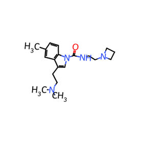 Cc1ccc2c(c1)c(CCN(C)C)cn2C(=O)NCCN1CCC1